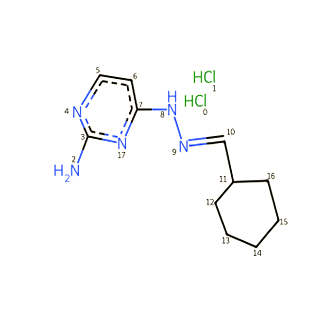 Cl.Cl.Nc1nccc(N/N=C/C2CCCCC2)n1